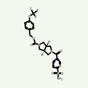 NS(=O)(=O)c1ccc(C(=O)N2C[C@H]3CN(C(=O)OCc4ccc(OC(F)(F)F)cc4)C[C@@H]3C2)cn1